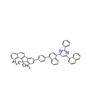 CC1(C)c2ccc(-c3ccc(-c4ccc(-c5cc(-c6cccc7ccccc67)nc(-c6ccccc6)n5)c5ccccc45)cc3)cc2-c2ccc3ccccc3c21